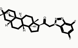 COC[C@]12CC[C@@](C)(O)C[C@H]1CC[C@H]1[C@@H]3CC[C@H](C(=O)Cn4nnc5c(F)cc(F)cc54)[C@@]3(C)CC[C@@H]12